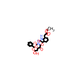 COC(=O)CC1CCCC2C(OC(NC=O)C(=O)C(CC(=O)O)OCc3ccccc3)C(=O)NC12